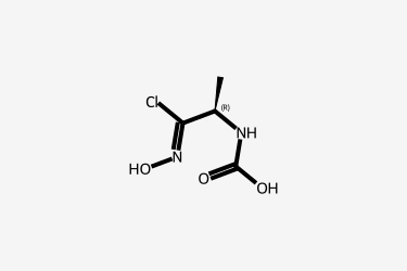 C[C@@H](NC(=O)O)C(Cl)=NO